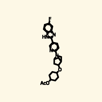 CC(=O)OC1CCC(OC2CC3CC2CN3c2ccc(-c3nc4cc(F)ccc4[nH]3)cn2)CC1